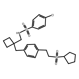 O=S(=O)(NCC1(Cc2ccc(CCS(=O)(=O)C3CCCC3)cc2)CCC1)c1ccc(Cl)cc1